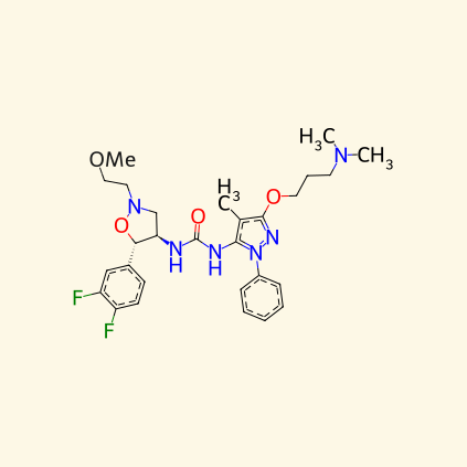 COCCN1C[C@@H](NC(=O)Nc2c(C)c(OCCCN(C)C)nn2-c2ccccc2)[C@H](c2ccc(F)c(F)c2)O1